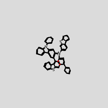 c1ccc(-c2ccc(N(c3ccc4c(c3)sc3ccccc34)c3cc4c(cc3-c3cccc5sc6ccccc6c35)c3ccccc3n4-c3ccccc3)cc2)cc1